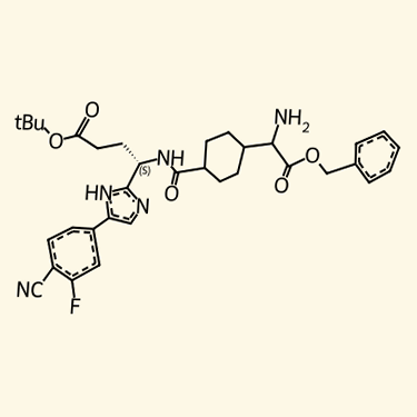 CC(C)(C)OC(=O)CC[C@H](NC(=O)C1CCC(C(N)C(=O)OCc2ccccc2)CC1)c1ncc(-c2ccc(C#N)c(F)c2)[nH]1